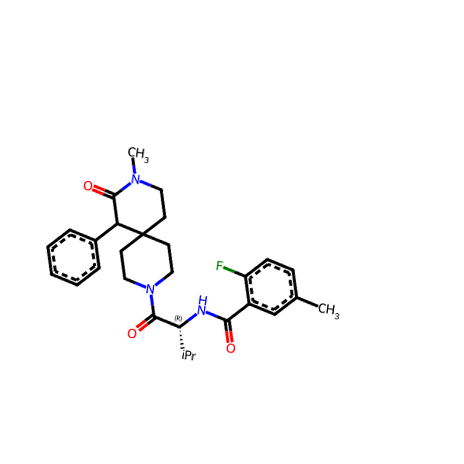 Cc1ccc(F)c(C(=O)N[C@@H](C(=O)N2CCC3(CCN(C)C(=O)C3c3ccccc3)CC2)C(C)C)c1